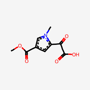 COC(=O)c1cc(C(=O)C(=O)O)n(C)c1